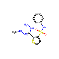 C=N/N=C(\NN)c1sccc1S(=O)(=O)Nc1ccccc1